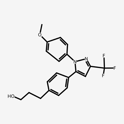 COc1ccc(-n2nc(C(F)(F)F)cc2-c2ccc(CCCO)cc2)cc1